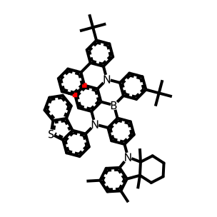 Cc1cc2c3c(c1)N(c1cccc4sc5ccccc5c14)c1cc(N4c5cc(C)cc(C)c5C5(C)CCCCC45C)ccc1B3c1cc(C(C)(C)C)ccc1N2c1ccc(C(C)(C)C)cc1-c1ccccc1